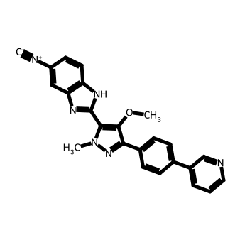 [C-]#[N+]c1ccc2[nH]c(-c3c(OC)c(-c4ccc(-c5cccnc5)cc4)nn3C)nc2c1